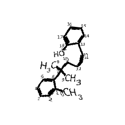 Cc1ccccc1C(C)(C)C/C=C\c1ccccc1O